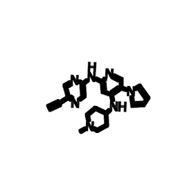 C#Cc1cnc(Nc2cc(NC3CCN(C)CC3)c(-n3cccc3)cn2)cn1